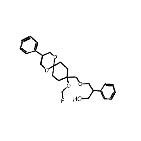 OCC(COCC1(OCF)CCC2(CC1)OCC(c1ccccc1)CO2)c1ccccc1